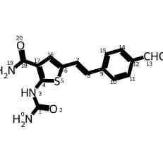 NC(=O)Nc1sc(C=Cc2ccc(C=O)cc2)cc1C(N)=O